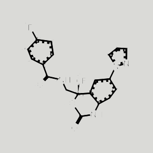 O=C1Nc2ccc(-n3cccn3)cc2[C@](CNC(=O)c2ccc(F)cc2)(C(F)(F)F)O1